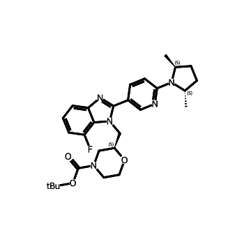 C[C@H]1CC[C@H](C)N1c1ccc(-c2nc3cccc(F)c3n2C[C@@H]2CN(C(=O)OC(C)(C)C)CCO2)cn1